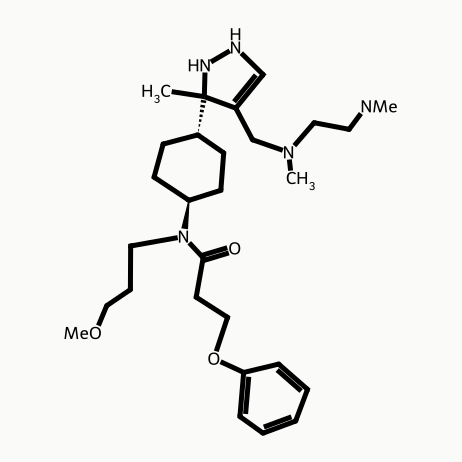 CNCCN(C)CC1=CNNC1(C)[C@H]1CC[C@H](N(CCCOC)C(=O)CCOc2ccccc2)CC1